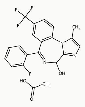 CC(=O)O.Cc1cnc2n1-c1ccc(C(F)(F)F)cc1C(c1ccccc1F)=NC2O